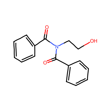 O=C(c1ccccc1)N(CCO)C(=O)c1ccccc1